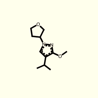 COc1nn(C2CCOC2)cc1C(C)C